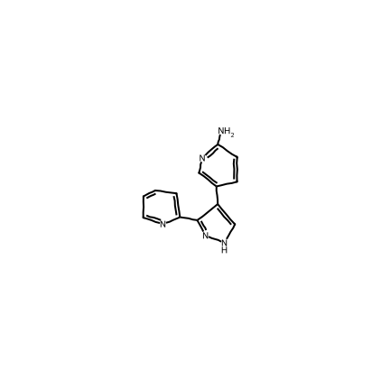 Nc1ccc(-c2c[nH]nc2-c2ccccn2)cn1